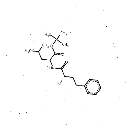 CC(C)C[C@H](NC(=O)[C@@H](O)CCc1ccccc1)C(=O)OC(C)(C)C